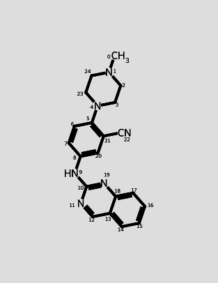 CN1CCN(c2ccc(Nc3ncc4ccccc4n3)cc2C#N)CC1